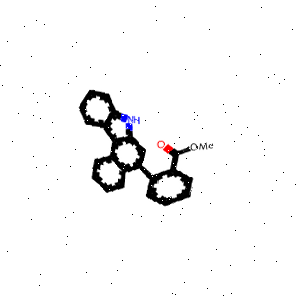 COC(=O)c1ccccc1-c1cc2[nH]c3ccccc3c2c2ccccc12